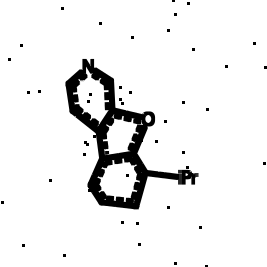 CC(C)c1cccc2c1oc1cnccc12